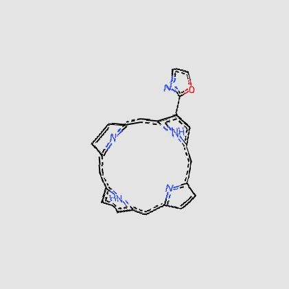 C1=Cc2cc3cc(-c4ncco4)c(cc4nc(cc5ccc(cc1n2)[nH]5)C=C4)[nH]3